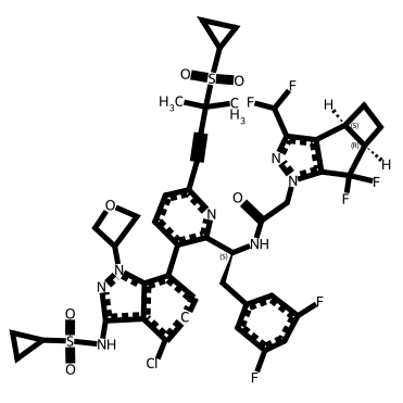 CC(C)(C#Cc1ccc(-c2ccc(Cl)c3c(NS(=O)(=O)C4CC4)nn(C4COC4)c23)c([C@H](Cc2cc(F)cc(F)c2)NC(=O)Cn2nc(C(F)F)c3c2C(F)(F)[C@@H]2CC[C@H]32)n1)S(=O)(=O)C1CC1